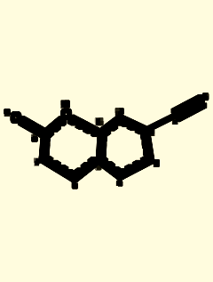 C#Cc1ccc2ccc(=O)oc2c1